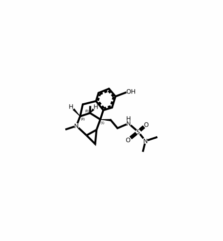 C[C@H]1[C@H]2Cc3ccc(O)cc3[C@]1(CCNS(=O)(=O)N(C)C)C1CC1N2C